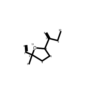 C=CC1(C)CCC(C(=C)CC)O1